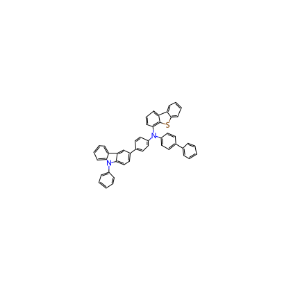 c1ccc(-c2ccc(N(c3ccc(-c4ccc5c(c4)c4ccccc4n5-c4ccccc4)cc3)c3cccc4c3sc3ccccc34)cc2)cc1